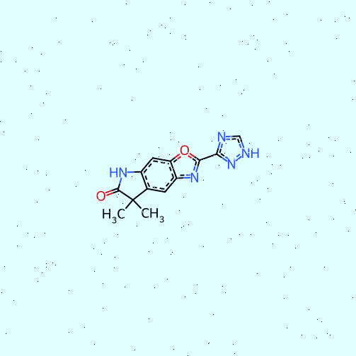 CC1(C)C(=O)Nc2cc3oc(-c4nc[nH]n4)nc3cc21